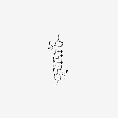 Fc1ccc(C(F)(F)C(F)(F)C(F)(F)C(F)(F)C(F)(F)C(F)(F)c2ccc(F)cc2C(F)(F)F)c(C(F)(F)F)c1